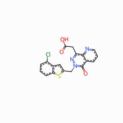 O=C(O)Cc1nn(Cc2cc3c(Cl)cccc3s2)c(=O)c2cccnc12